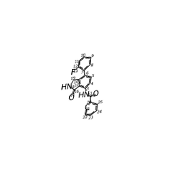 O=C(Nc1ccc(-c2ccccc2F)c2c1C(=O)NC2)c1ccccc1